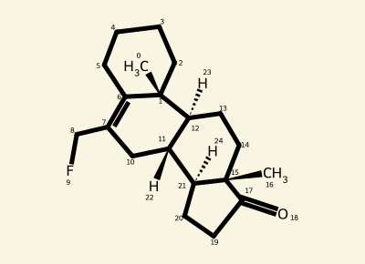 C[C@]12CCCCC1=C(CF)C[C@@H]1[C@@H]2CC[C@]2(C)C(=O)CC[C@@H]12